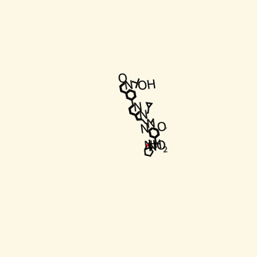 COc1cc(C(=O)N2CC3CCC2[C@@H]3N)cc2nc(-c3cc4ccc(-c5ccc6c(ccc(=O)n6CC(C)(C)O)c5)nc4n3CC3CC3)n(C)c12